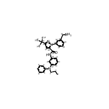 CCCN(c1ccccc1)c1cccc(NC(=O)c2cc(C(F)(F)F)nn2-c2cccc(CN)c2)c1